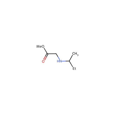 CCC(C)NCC(=O)OC